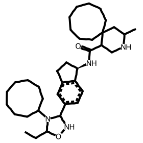 CCC1ONC(c2ccc3c(c2)CC[C@H]3NC(=O)C2CNC(C)CC23CCCCCCCC3)N1C1CCCCCCCC1